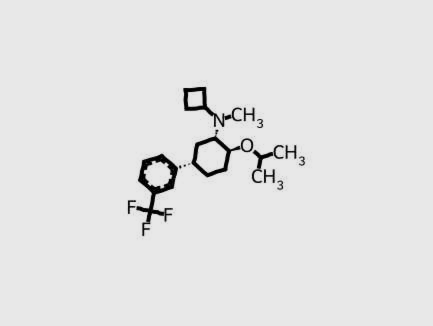 CC(C)O[C@H]1CC[C@H](c2cccc(C(F)(F)F)c2)C[C@@H]1N(C)C1CCC1